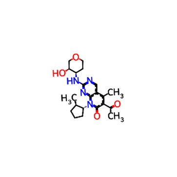 CC(=O)c1c(C)c2cnc(N[C@@H]3CCOC[C@@H]3O)nc2n([C@@H]2CCC[C@H]2C)c1=O